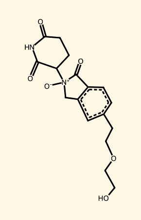 O=C1CCC([N+]2([O-])Cc3cc(CCOCCO)ccc3C2=O)C(=O)N1